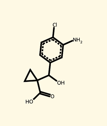 Nc1cc(C(O)C2(C(=O)O)CC2)ccc1Cl